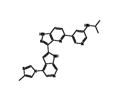 Cc1cn(-c2cncc3[nH]c(-c4n[nH]c5ccc(-c6cncc(NC(C)C)c6)nc45)cc23)cn1